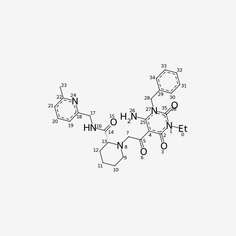 CCn1c(=O)c(C(=O)CN2CCCC[C@@H]2C(=O)NCc2cccc(C)n2)c(N)n(Cc2ccccc2)c1=O